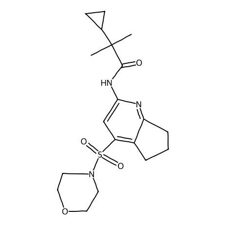 CC(C)(C(=O)Nc1cc(S(=O)(=O)N2CCOCC2)c2c(n1)CCC2)C1CC1